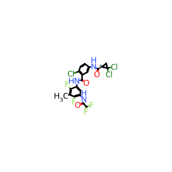 Cc1c(F)c(NC(=O)c2cc(NC(=O)[C@H]3CC3(Cl)Cl)ccc2Cl)cc(NC(=O)C(F)F)c1F